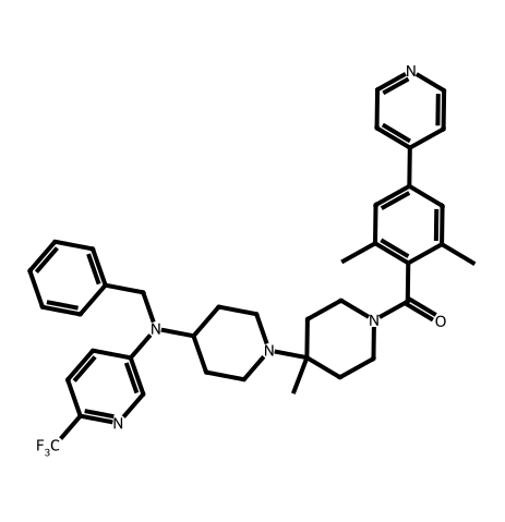 Cc1cc(-c2ccncc2)cc(C)c1C(=O)N1CCC(C)(N2CCC(N(Cc3ccccc3)c3ccc(C(F)(F)F)nc3)CC2)CC1